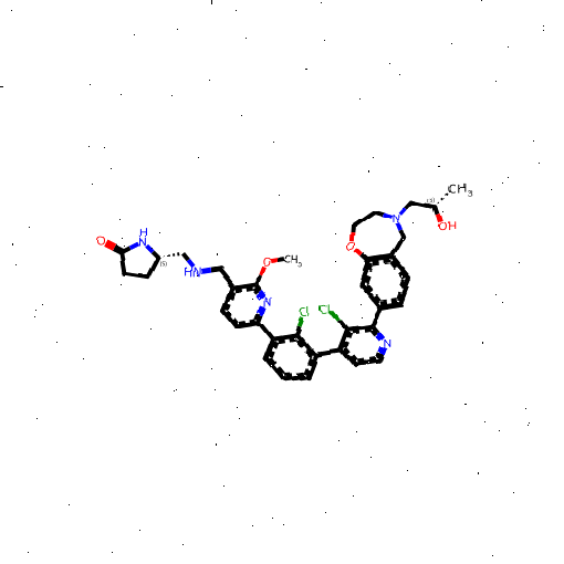 COc1nc(-c2cccc(-c3ccnc(-c4ccc5c(c4)OCCN(C[C@H](C)O)C5)c3Cl)c2Cl)ccc1CNC[C@@H]1CCC(=O)N1